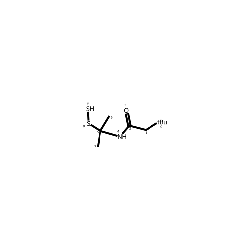 CC(C)(C)CC(=O)NC(C)(C)SS